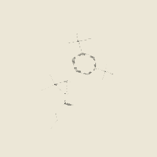 CCOC(=O)[C@@H]1[C@@H](c2cc(C(F)(F)F)cc(C(F)(F)F)c2)C1(Cl)Cl